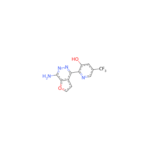 Nc1nnc(-c2ncc(C(F)(F)F)cc2O)c2ccoc12